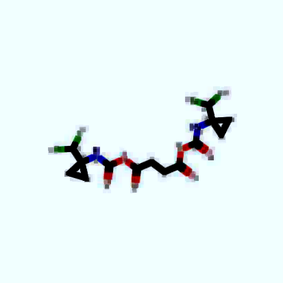 O=C(CCC(=O)OC(=O)NC1(C(F)F)CC1)OC(=O)NC1(C(F)F)CC1